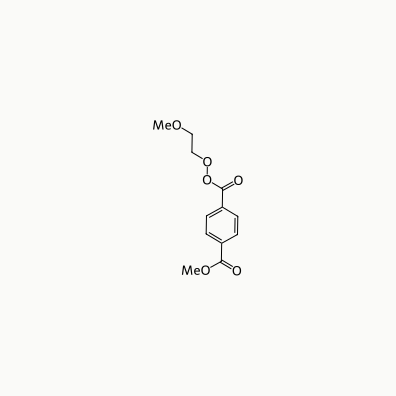 COCCOOC(=O)c1ccc(C(=O)OC)cc1